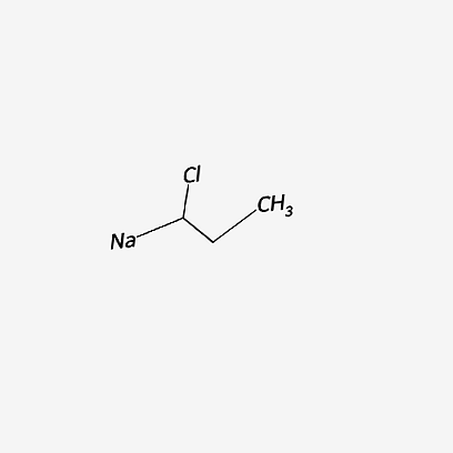 CC[CH]([Na])Cl